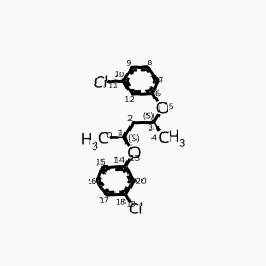 C[C@@H](C[C@H](C)Oc1cccc(Cl)c1)Oc1cccc(Cl)c1